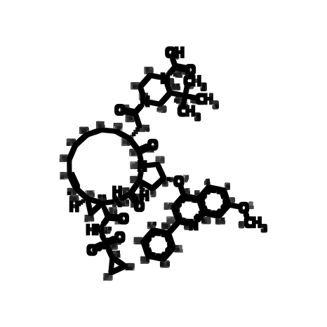 COc1ccc2c(O[C@@H]3C[C@H]4C(=O)N[C@]5(C(=O)NS(=O)(=O)C6CC6)C[C@H]5C=CCCCCC[C@H](CC(=O)N5CCN(C(=O)O)C(C(C)(C)C)C5)C(=O)N4C3)cc(-c3ccccc3)nc2c1